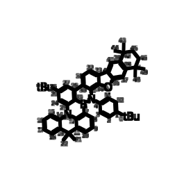 CC(C)(C)c1ccc(N2B3c4cccc5c4N(c4ccccc4C5(C)C)c4cc(C(C)(C)C)cc(c43)-c3ccc4c(oc5cc6c(cc54)C(C)(C)CCC6(C)C)c32)cc1